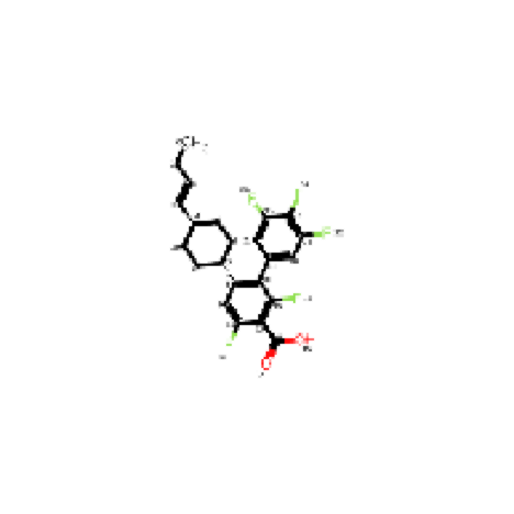 CC/C=C/[C@H]1CC[C@H](c2cc(F)c(C(=O)O)c(F)c2-c2cc(F)c(F)c(F)c2)CC1